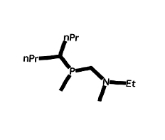 CCCC(CCC)P(C)CN(C)CC